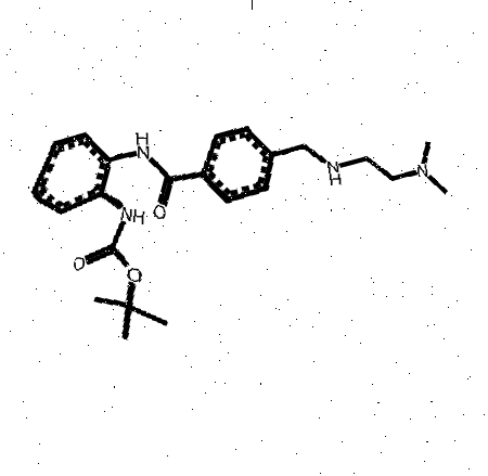 CN(C)CCNCc1ccc(C(=O)Nc2ccccc2NC(=O)OC(C)(C)C)cc1